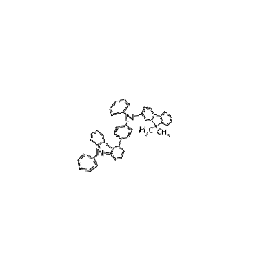 CC1(C)c2ccccc2-c2ccc(N(c3ccccc3)c3ccc(-c4cccc5c4c4ccccc4n5-c4ccccc4)cc3)cc21